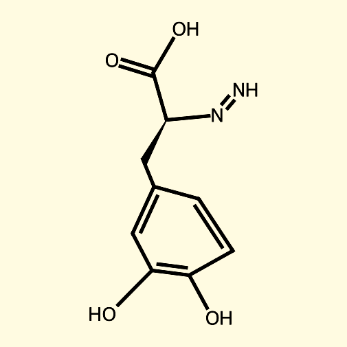 N=N[C@@H](Cc1ccc(O)c(O)c1)C(=O)O